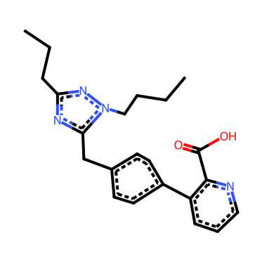 CCCCn1nc(CCC)nc1Cc1ccc(-c2cccnc2C(=O)O)cc1